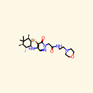 C[C@@H]1[C@@H](C)C(C)(C)[C@@H](C)C[C@H]1Nc1cnn(CC(=O)NCCN2CCOCC2)c(=O)c1Br